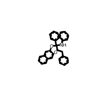 O=C(Cc1ccccc1)C(Nc1ccccc1)(Oc1ccc2ccccc2c1)c1ccccc1